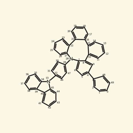 c1ccc(-c2ccc3c(c2)c2ccccc2c2ccccc2c2ccccc2n3-c2ccc(-n3c4ccccc4c4ccccc43)cc2)cc1